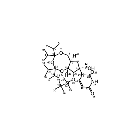 CC(C)C1(C(C)C)OC[C@H]2C[C@@](CO)(n3ccc(=O)[nH]c3=O)[C@H](O[Si](C)(C)C(C)(C)C)[C@@H]2OC(C(C)C)(C(C)C)O1